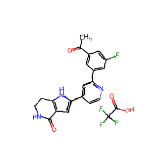 CC(=O)c1cc(F)cc(-c2cc(-c3cc4c([nH]3)CCNC4=O)ccn2)c1.O=C(O)C(F)(F)F